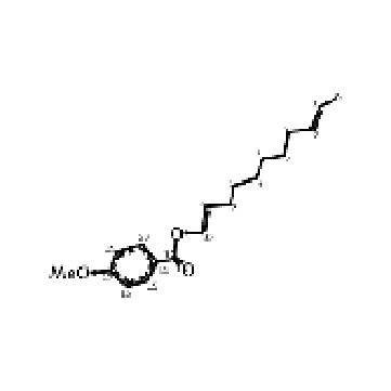 CC=CCCCCCCC=COC(=O)c1ccc(OC)cc1